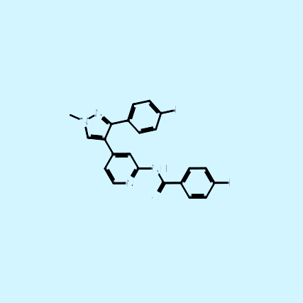 Cn1cc(-c2ccnc(NC(=O)c3ccc(F)cc3)c2)c(-c2ccc(F)cc2)n1